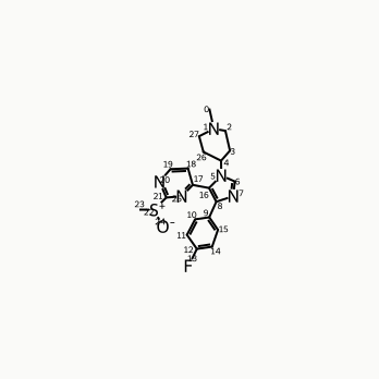 CN1CCC(n2cnc(-c3ccc(F)cc3)c2-c2ccnc([S+](C)[O-])n2)CC1